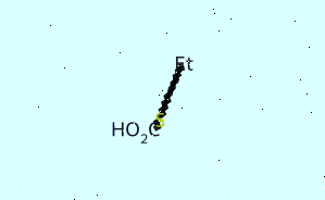 CCC=CCC=CCC=CCCCCCCCCSCCC(=O)O